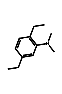 CCc1ccc(CC)c(N(C)C)c1